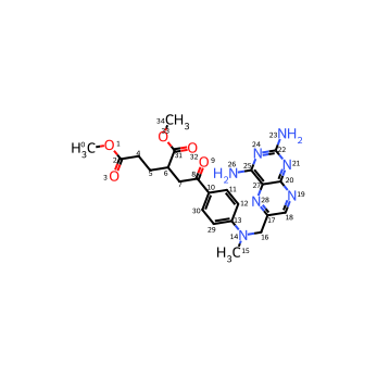 COC(=O)CCC(CC(=O)c1ccc(N(C)Cc2cnc3nc(N)nc(N)c3n2)cc1)C(=O)OC